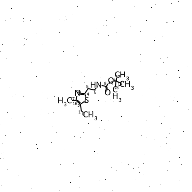 CCc1sc(CCNC(=O)OC(C)(C)C)nc1C